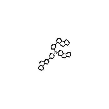 c1cc(-c2cccc3c2ccc2ccccc23)cc(N(c2ccc(-c3ccc4c(ccc5ccccc54)c3)cc2)c2ccc3c(ccc4ccccc43)c2)c1